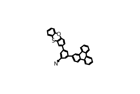 N#Cc1cc(-c2ccc3c(c2)Sc2ccccc2O3)cc(-c2ccc3c4ccccc4c4ccccc4c3c2)c1